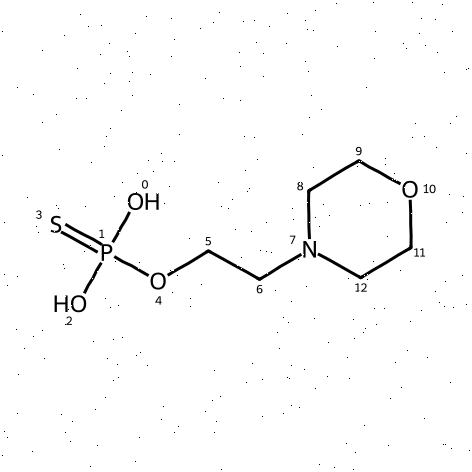 OP(O)(=S)OCCN1CCOCC1